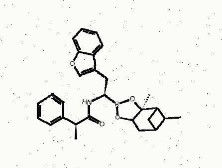 CC1C2CC3OB([C@H](Cc4coc5ccccc45)NC(=O)[C@@H](C)c4ccccc4)O[C@@]3(C)C1C2